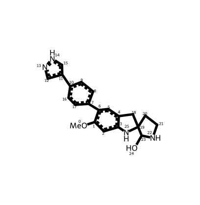 COc1cc2c(cc1-c1ccc(-c3cn[nH]c3)cc1)CC1(CCNC1O)N2